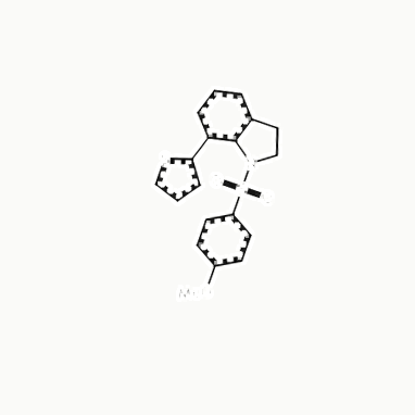 COc1ccc(S(=O)(=O)N2CCc3cccc(-c4cccs4)c32)cc1